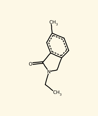 CCN1Cc2ccc(C)cc2C1=O